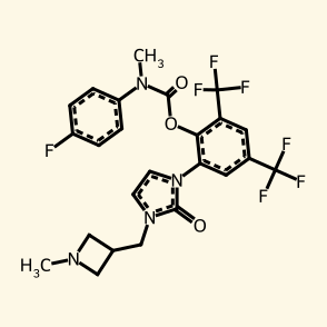 CN1CC(Cn2ccn(-c3cc(C(F)(F)F)cc(C(F)(F)F)c3OC(=O)N(C)c3ccc(F)cc3)c2=O)C1